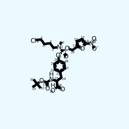 CN(CCCCCl)P(=O)(OCc1ccc([N+](=O)[O-])o1)Oc1ccc(CC(NC(=O)OC(C)(C)C)C(=O)O)cc1